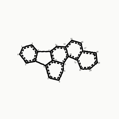 c1ccc2c(c1)-c1cccc3c1c-2cc1ccc2ccccc2c13